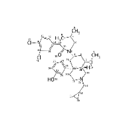 COC1C[C@@H](N(CC(C)C)C(=O)Cc2ccc(Cl)c(Cl)c2)C[C@]2(c3cccc(O)c3)CCN(CC3CC3)C[C@@H]12